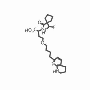 O=C(O)C(CCOCCCCc1ccc2c(n1)NCCC2)NC(=O)C1(C(F)F)CCCC1